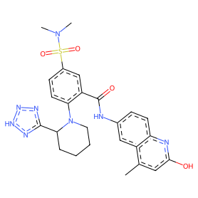 Cc1cc(O)nc2ccc(NC(=O)c3cc(S(=O)(=O)N(C)C)ccc3N3CCCCC3c3nn[nH]n3)cc12